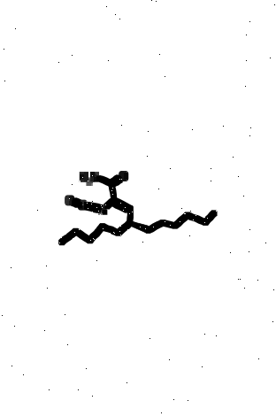 CCCCCC[C@H](C=C(N=C=O)C(N)=O)CCCCC